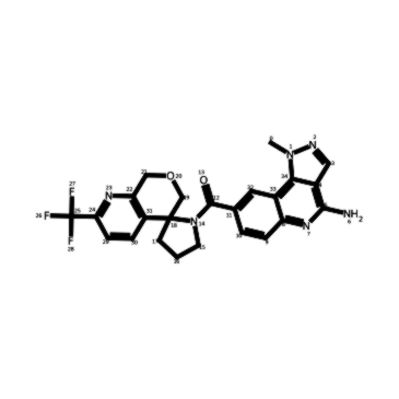 Cn1ncc2c(N)nc3ccc(C(=O)N4CCCC45COCc4nc(C(F)(F)F)ccc45)cc3c21